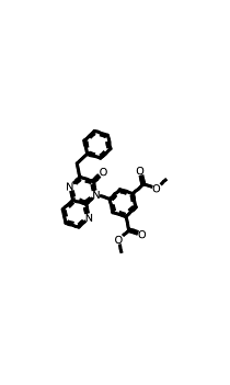 COC(=O)c1cc(C(=O)OC)cc(-n2c(=O)c(Cc3ccccc3)nc3cccnc32)c1